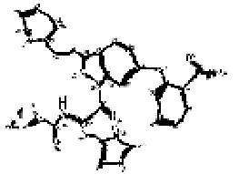 CNC(=O)c1ccccc1Sc1ccc2c(/C=C/c3ccccn3)nn(C(=O)[C@H](Cc3cnc[nH]3)NC(=O)OC(C)(C)C)c2c1